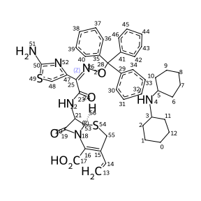 C1CCC(NC2CCCCC2)CC1.C=CC1=C(C(=O)O)N2C(=O)C(NC(=O)/C(=N\OC(c3ccccc3)(c3ccccc3)c3ccccc3)c3csc(N)n3)[C@H]2SC1